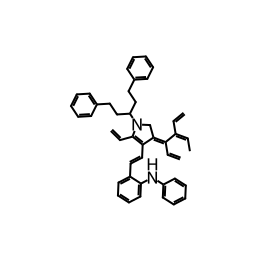 C=CC1=C(/C=C/c2ccccc2Nc2ccccc2)/C(=C(C=C)/C(C=C)=C\C)CN1C(CCc1ccccc1)CCc1ccccc1